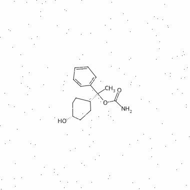 CC(OC(N)=O)(c1ccccc1)[C@H]1CC[C@@H](O)CC1